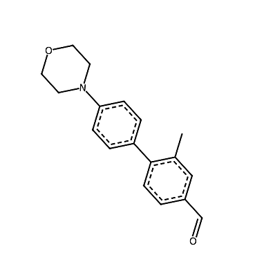 Cc1cc(C=O)ccc1-c1ccc(N2CCOCC2)cc1